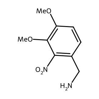 COc1ccc(CN)c([N+](=O)[O-])c1OC